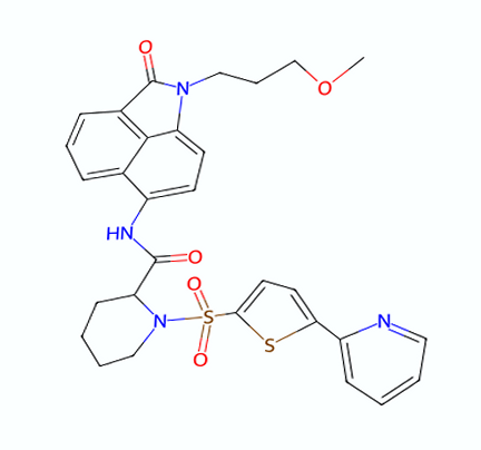 COCCCN1C(=O)c2cccc3c(NC(=O)C4CCCCN4S(=O)(=O)c4ccc(-c5ccccn5)s4)ccc1c23